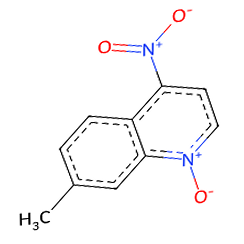 Cc1ccc2c([N+](=O)[O-])cc[n+]([O-])c2c1